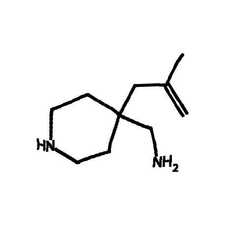 C=C(C)CC1(CN)CCNCC1